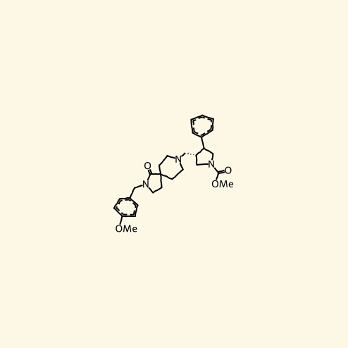 COC(=O)N1CC(c2ccccc2)[C@@H](CN2CCC3(CC2)CCN(Cc2ccc(OC)cc2)C3=O)C1